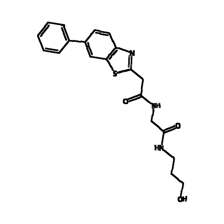 O=C(CNC(=O)Cc1nc2ccc(-c3ccccc3)cc2s1)NCCCO